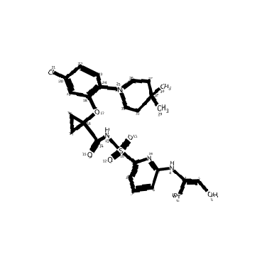 CC(C)/C(=C\O)Nc1cccc(S(=O)(=O)NC(=O)C2(Oc3cc(Cl)ccc3N3CCC(C)(C)CC3)CC2)n1